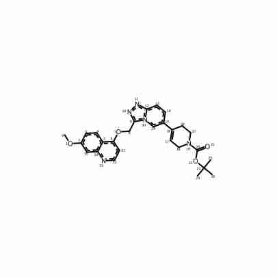 COc1ccc2c(OCc3nnc4ccc(C5=CCN(C(=O)OC(C)(C)C)CC5)cn34)ccnc2c1